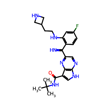 CC(C)(C)NC(=O)c1c[nH]c2ncc(C(=N)c3ccc(F)cc3NCCC3CNC3)nc12